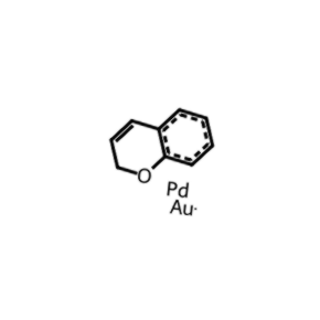 C1=Cc2ccccc2OC1.[Au].[Pd]